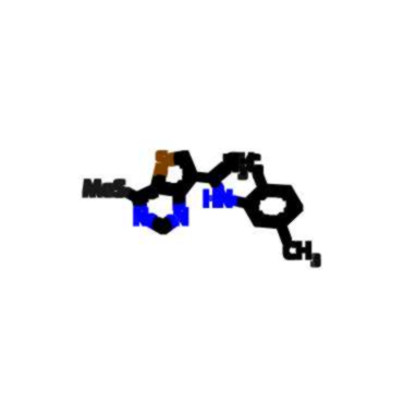 C=C(Nc1cc(C)ccc1C)c1csc2c(SC)ncnc12